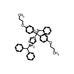 BC(c1ccccc1)c1ccccc1.CCCOc1ccc(C([SiH2]c2ccccc2)(c2ccc(OCCC)cc2)n2ccnc2)cc1